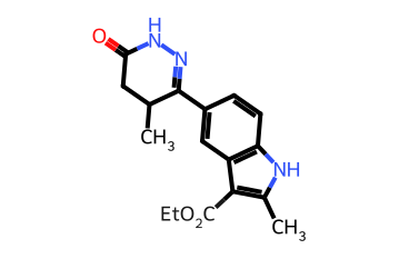 CCOC(=O)c1c(C)[nH]c2ccc(C3=NNC(=O)CC3C)cc12